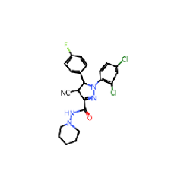 N#CC1C(C(=O)NN2CCCCC2)=NN(c2ccc(Cl)cc2Cl)C1c1ccc(F)cc1